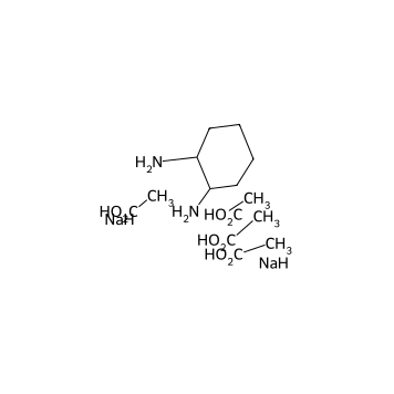 CC(=O)O.CC(=O)O.CC(=O)O.CC(=O)O.NC1CCCCC1N.[NaH].[NaH]